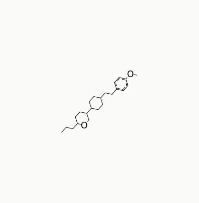 CCCC1CCC(C2CCC(CCc3ccc(OC)cc3)CC2)CO1